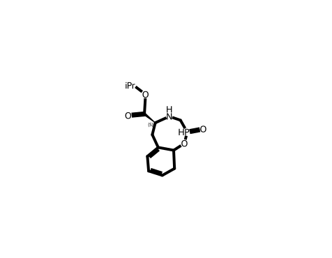 CC(C)OC(=O)[C@@H]1CC2=CC=CCC2O[PH](=O)CN1